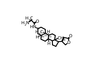 C[C@@H](N)C(=O)N[C@H]1CC[C@@]2(C)[C@H](CC[C@H]3C4CCC(C5=CC(=O)OC5)C4(C)CC[C@@H]32)C1